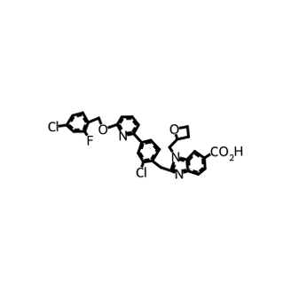 O=C(O)c1ccc2nc(Cc3ccc(-c4cccc(OCc5ccc(Cl)cc5F)n4)cc3Cl)n(CC3CCO3)c2c1